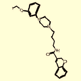 O=C(NCCCCN1CCN(c2cccc(OCI)c2)CC1)C1=Cc2ccccc2OC1